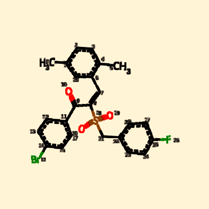 Cc1ccc(C)c(/C=C(\C(=O)c2ccc(Br)cc2)S(=O)(=O)Cc2ccc(F)cc2)c1